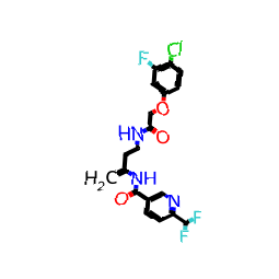 C=C(CCNC(=O)COc1ccc(Cl)c(F)c1)NC(=O)c1ccc(C(F)F)nc1